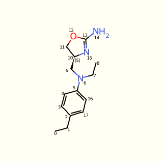 CCc1ccc(N(CC)C[C@H]2COC(N)=N2)cc1